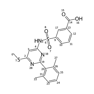 CSc1cc(NS(=O)(=O)c2cccc(C(=O)O)c2)nc(-c2c(C)cccc2C)n1